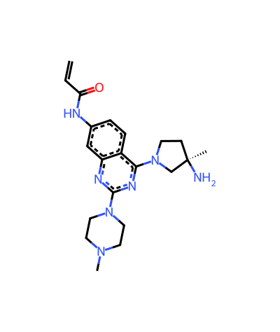 C=CC(=O)Nc1ccc2c(N3CC[C@@](C)(N)C3)nc(N3CCN(C)CC3)nc2c1